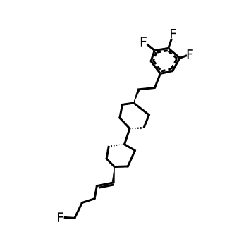 FCCCC=C[C@H]1CC[C@H]([C@H]2CC[C@H](CCc3cc(F)c(F)c(F)c3)CC2)CC1